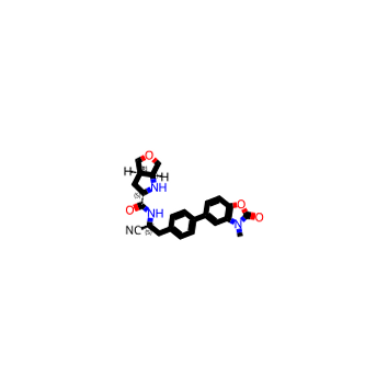 Cn1c(=O)oc2ccc(-c3ccc(C[C@@H](C#N)NC(=O)[C@@H]4C[C@H]5COC[C@H]5N4)cc3)cc21